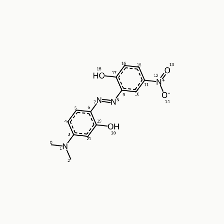 CN(C)c1ccc(N=Nc2cc([N+](=O)[O-])ccc2O)c(O)c1